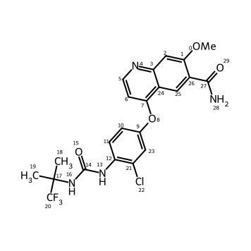 COc1cc2nccc(Oc3ccc(NC(=O)NC(C)(C)C(F)(F)F)c(Cl)c3)c2cc1C(N)=O